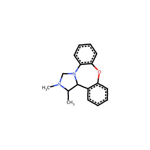 CC1C2c3ccccc3Oc3ccccc3N2CN1C